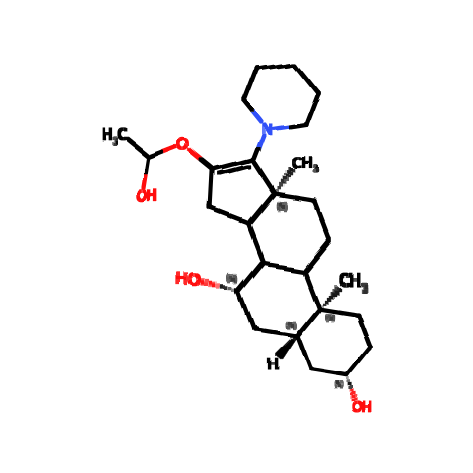 CC(O)OC1=C(N2CCCCC2)[C@@]2(C)CCC3C(C2C1)[C@@H](O)C[C@H]1C[C@@H](O)CC[C@]31C